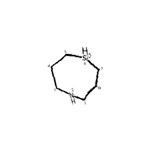 C1CNCCC[SiH2]C1